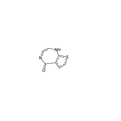 O=C1N=C=CNc2sccc21